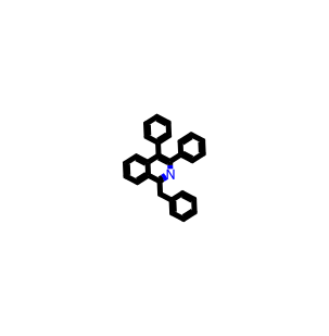 c1ccc(Cc2nc(-c3ccccc3)c(-c3ccccc3)c3ccccc23)cc1